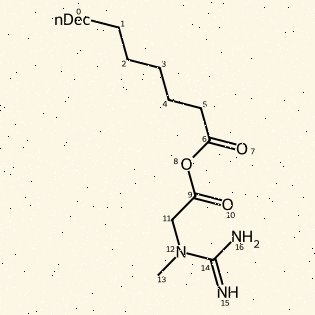 CCCCCCCCCCCCCCCC(=O)OC(=O)CN(C)C(=N)N